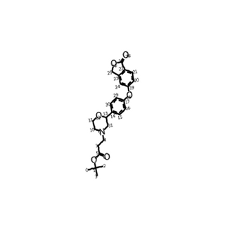 CC(C)(C)OC(=O)CCN1CCOC(c2ccc(Oc3ccc4c(c3)COC4=O)cc2)C1